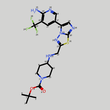 CC(C)(C)OC(=O)N1CCC(NCc2nn3c(-c4cnc(N)c(C(F)(F)F)c4)cnc3s2)CC1